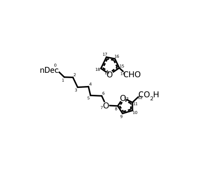 CCCCCCCCCCCCCCCCOc1ccc(C(=O)O)o1.O=Cc1ccco1